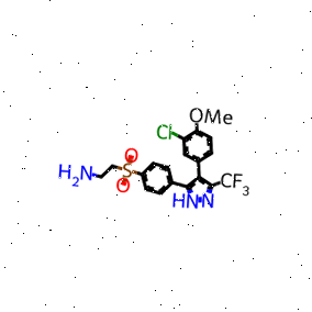 COc1ccc(-c2c(C(F)(F)F)n[nH]c2-c2ccc(S(=O)(=O)CCN)cc2)cc1Cl